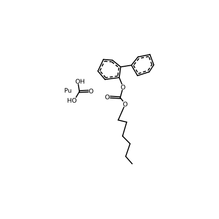 CCCCCCOC(=O)Oc1ccccc1-c1ccccc1.O=C(O)O.[Pu]